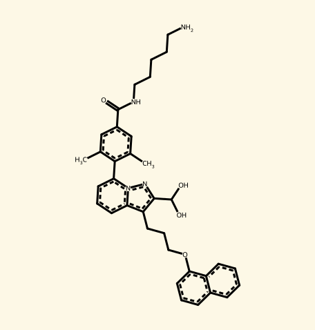 Cc1cc(C(=O)NCCCCCN)cc(C)c1-c1cccc2c(CCCOc3cccc4ccccc34)c(C(O)O)nn12